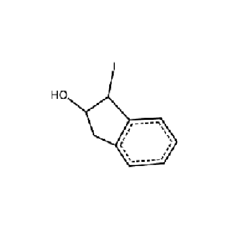 OC1Cc2ccccc2C1I